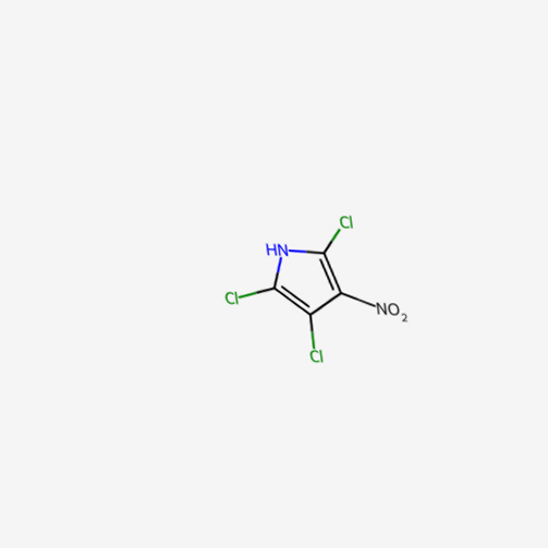 O=[N+]([O-])c1c(Cl)[nH]c(Cl)c1Cl